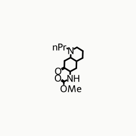 CCCN1CCCC2CC(NC(=O)OC)C(=O)CC21